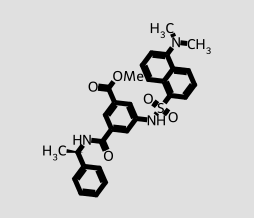 COC(=O)c1cc(NS(=O)(=O)c2cccc3c(N(C)C)cccc23)cc(C(=O)N[C@H](C)c2ccccc2)c1